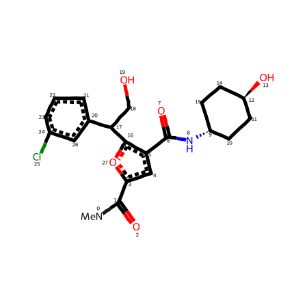 CNC(=O)c1cc(C(=O)N[C@H]2CC[C@H](O)CC2)c(C(CO)c2cccc(Cl)c2)o1